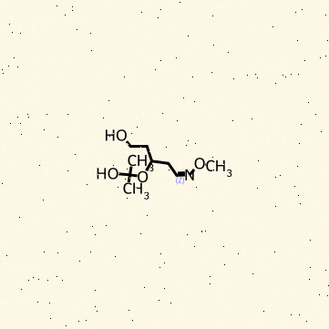 CO/N=C\CC(CCO)OC(C)(C)O